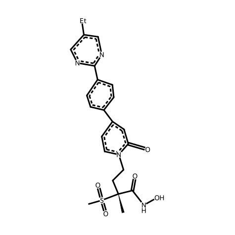 CCc1cnc(-c2ccc(-c3ccn(CC[C@](C)(C(=O)NO)S(C)(=O)=O)c(=O)c3)cc2)nc1